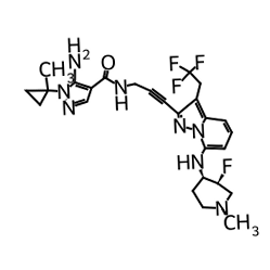 CN1CC[C@@H](Nc2cccc3c(CC(F)(F)F)c(C#CCNC(=O)c4cnn(C5(C)CC5)c4N)nn23)[C@@H](F)C1